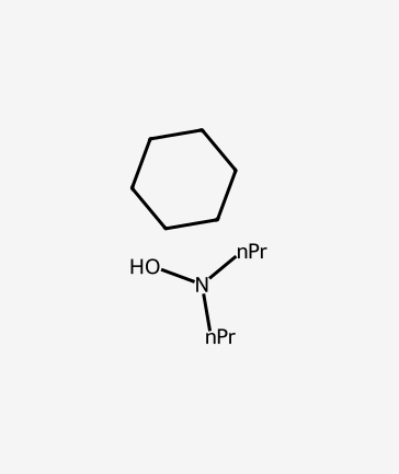 C1CCCCC1.CCCN(O)CCC